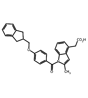 Cc1cc2c(CC(=O)O)cccc2n1C(=O)c1ccc(OCC2Cc3ccccc3C2)cc1